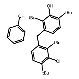 CC(C)(C)c1ccc(Cc2ccc(C(C)(C)C)c(O)c2C(C)(C)C)c(C(C)(C)C)c1O.Oc1ccccc1